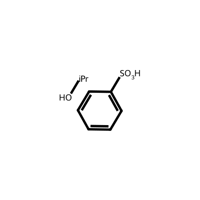 CC(C)O.O=S(=O)(O)c1ccccc1